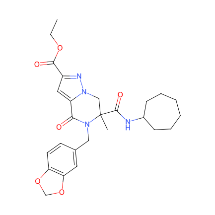 CCOC(=O)c1cc2n(n1)CC(C)(C(=O)NC1CCCCCC1)N(Cc1ccc3c(c1)OCO3)C2=O